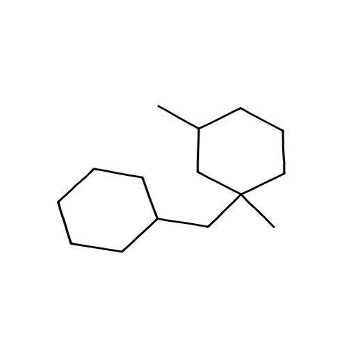 CC1CCCC(C)(CC2CCCCC2)C1